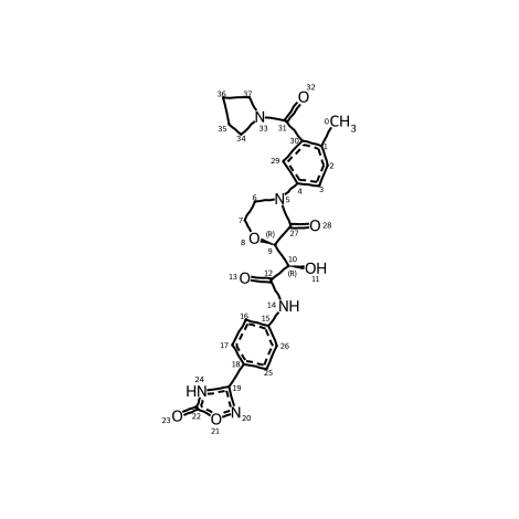 Cc1ccc(N2CCO[C@H]([C@@H](O)C(=O)Nc3ccc(-c4noc(=O)[nH]4)cc3)C2=O)cc1C(=O)N1CCCC1